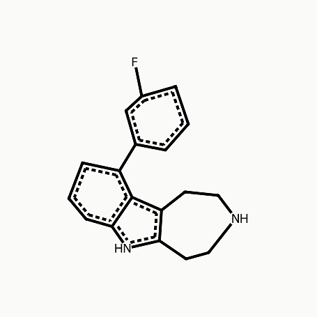 Fc1cccc(-c2cccc3[nH]c4c(c23)CCNCC4)c1